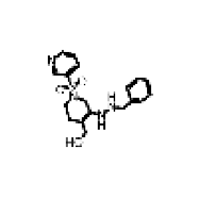 O=S(=O)(c1cccnc1)N1CCC(CO)=C(NNCc2ccccc2)C1